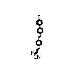 N#C/C(F)=C/CC[C@H]1CC[C@H](CC[C@H]2CC[C@H](c3ccc(F)cc3)CC2)CC1